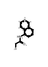 O=C(C[S])Nc1cccc2cnccc12